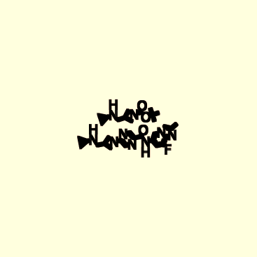 CC(C)(C)OC(=O)N1CC(CNC2CC2)C1.Cc1cn2cc(NC(=O)c3cnc(N4CC(CNC5CC5)C4)cn3)cc(F)c2n1